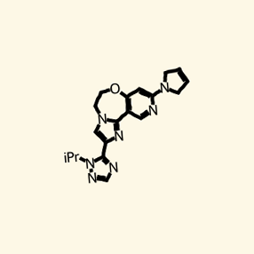 CC(C)n1ncnc1-c1cn2c(n1)-c1cnc(N3CC=CC3)cc1OCC2